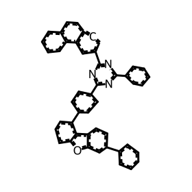 c1ccc(-c2ccc3c(c2)oc2cccc(-c4ccc(-c5nc(-c6ccccc6)nc(-c6ccc7ccc8ccccc8c7c6)n5)cc4)c23)cc1